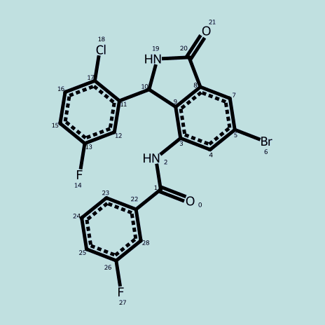 O=C(Nc1cc(Br)cc2c1C(c1cc(F)ccc1Cl)NC2=O)c1cccc(F)c1